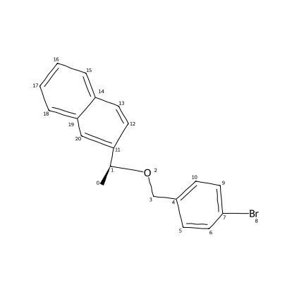 C[C@H](OCc1ccc(Br)cc1)c1ccc2ccccc2c1